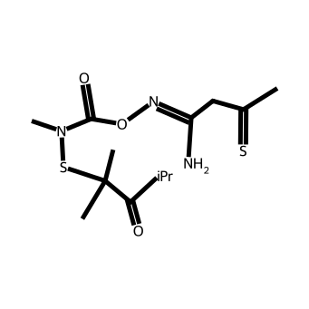 CC(=S)CC(N)=NOC(=O)N(C)SC(C)(C)C(=O)C(C)C